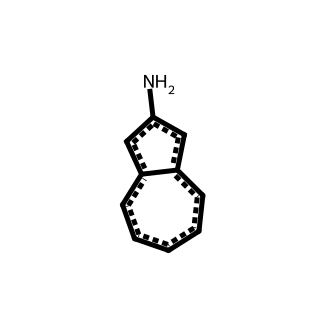 Nc1cc2cccccc-2c1